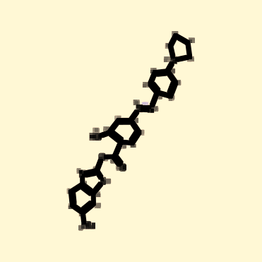 CCCCc1ccc2nc(OC(=O)c3ccc(/N=N/c4ccc(N5CCCC5)cc4)cc3O)sc2c1